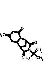 C=C1CC(=O)C2C3CC(C(=O)N(C(C)(C)C)C3=O)C2C1